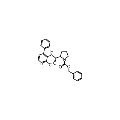 O=C(Nc1c(-c2ccccc2)ccnc1Cl)C1CCCN1C(=O)OCc1ccccc1